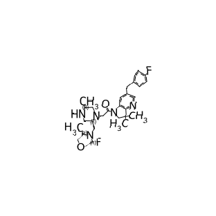 C[C@@H]1CN(CC(=O)N2CC(C)(C)c3ncc(Cc4ccc(F)cc4)cc32)[C@@H](CN2[C@H](C)COC[C@H]2F)CN1